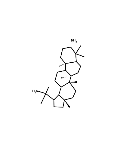 CC(C)(N)C1CC[C@@]2(C)CC[C@]3(C)C(CCC4[C@@]5(C)CC[C@H](N)C(C)(C)C5CC[C@]43C)C12